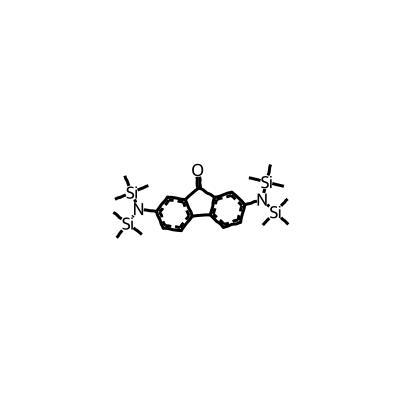 C[Si](C)(C)N(c1ccc2c(c1)C(=O)c1cc(N([Si](C)(C)C)[Si](C)(C)C)ccc1-2)[Si](C)(C)C